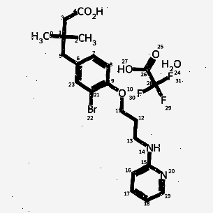 CC(C)(CC(=O)O)Cc1ccc(OCCCNc2ccccn2)c(Br)c1.O.O=C(O)C(F)(F)F